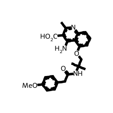 COc1ccc(CC(=O)NC(C)(C)COc2cccc3nc(C)c(C(=O)O)c(N)c23)cc1